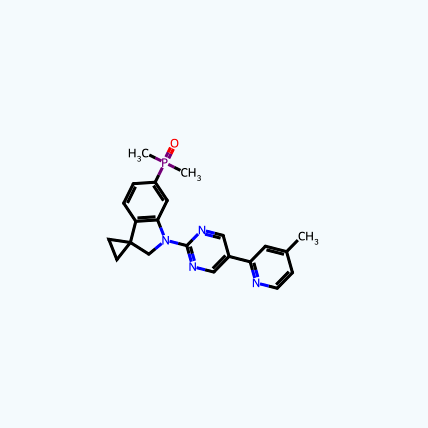 Cc1ccnc(-c2cnc(N3CC4(CC4)c4ccc(P(C)(C)=O)cc43)nc2)c1